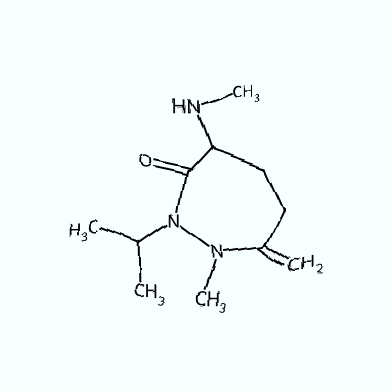 C=C1CCC(NC)C(=O)N(C(C)C)N1C